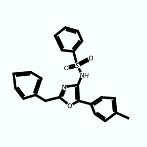 Cc1ccc(-c2oc(Cc3ccccc3)nc2NS(=O)(=O)c2ccccc2)cc1